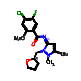 COc1cc(Cl)c(F)cc1C(=O)/N=c1/cc(C(C)(C)C)n(C)n1C[C@H]1CCCO1